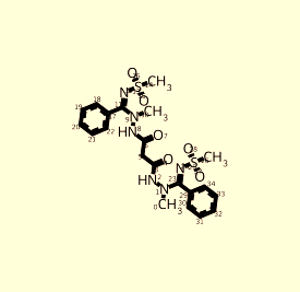 CN(NC(=O)CC(=O)NN(C)C(=NS(C)(=O)=O)c1ccccc1)C(=NS(C)(=O)=O)c1ccccc1